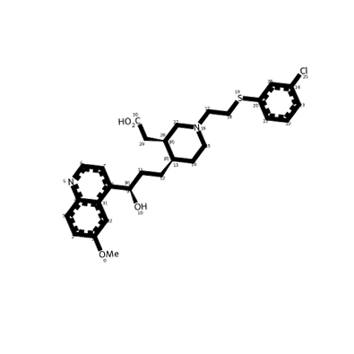 COc1ccc2nccc([C@H](O)CC[C@@H]3CCN(CCSc4cccc(Cl)c4)C[C@@H]3CC(=O)O)c2c1